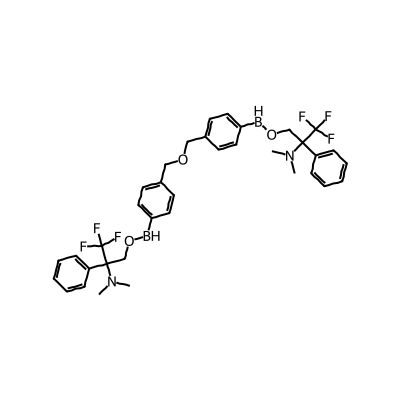 CN(C)C(COBc1ccc(COCc2ccc(BOCC(c3ccccc3)(N(C)C)C(F)(F)F)cc2)cc1)(c1ccccc1)C(F)(F)F